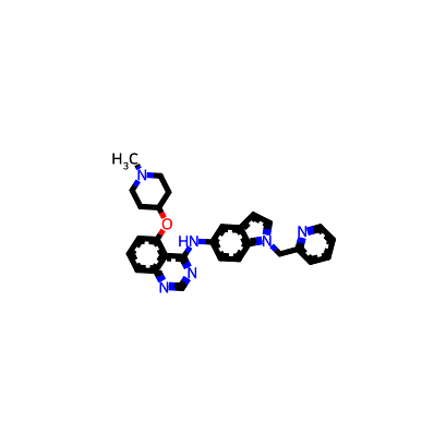 CN1CCC(Oc2cccc3ncnc(Nc4ccc5c(ccn5Cc5ccccn5)c4)c23)CC1